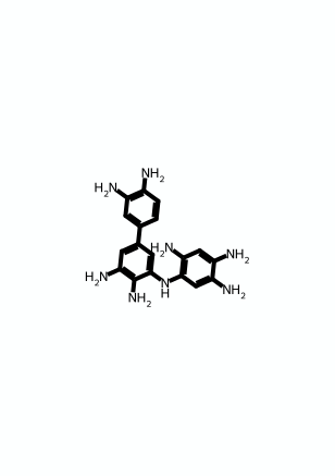 Nc1ccc(-c2cc(N)c(N)c(Nc3cc(N)c(N)cc3N)c2)cc1N